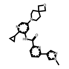 Cn1cc(-c2cccc(C(=O)Nc3cc(N4CCC5(CC4)COC5)cnc3C3CC3)n2)cn1